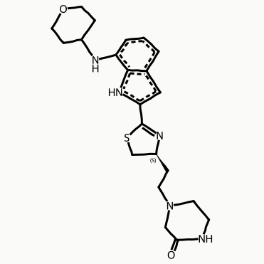 O=C1CN(CC[C@H]2CSC(c3cc4cccc(NC5CCOCC5)c4[nH]3)=N2)CCN1